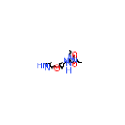 CCCn1c(=O)c2[nH]c(-c3ccc(OCCc4n[nH]cc4C)cc3)nc2n(CCC)c1=O